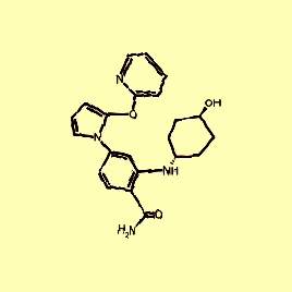 NC(=O)c1ccc(-n2cccc2Oc2ccccn2)cc1N[C@H]1CC[C@H](O)CC1